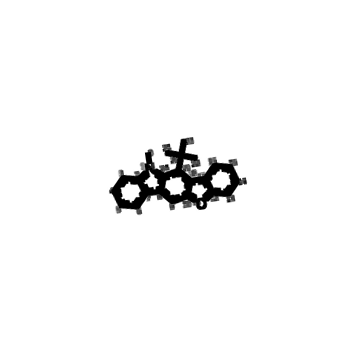 Cn1c2ccccc2c2cc3oc4ccccc4c3c(C(C)(C)C)c21